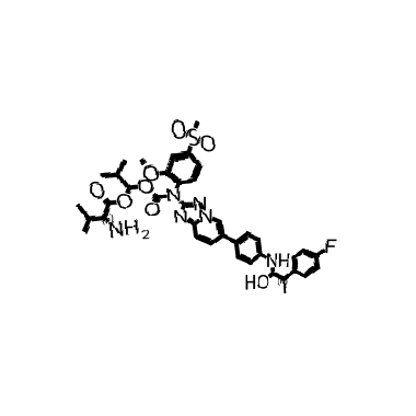 COc1cc(S(C)(=O)=O)ccc1N(C(=O)OC(OC(=O)[C@@H](N)C(C)C)C(C)C)c1nc2ccc(-c3ccc(NC(O)[C@H](C)c4ccc(F)cc4)cc3)cn2n1